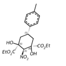 CCOC(=O)[C@]1(O)C[C@H](c2ccc(C)cc2)C[C@](O)(C(=O)OCC)[C@H]1[N+](=O)[O-]